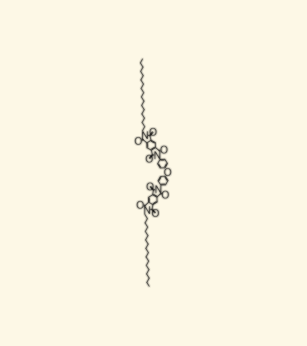 CCCCCCCCCCCCCCCCCCn1c(=O)c2cc3c(=O)n(-c4ccc(Oc5ccc(-n6c(=O)c7cc8c(=O)n(CCCCCCCCCCCCCCCCCC)c(=O)c8cc7c6=O)cc5)cc4)c(=O)c3cc2c1=O